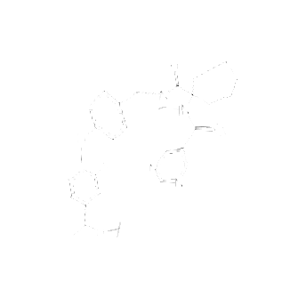 CC(O)c1ccc(Oc2ccc(CNC(=O)C3(NC(=O)c4cncnc4)CCCCC3)cc2)c(Cl)c1